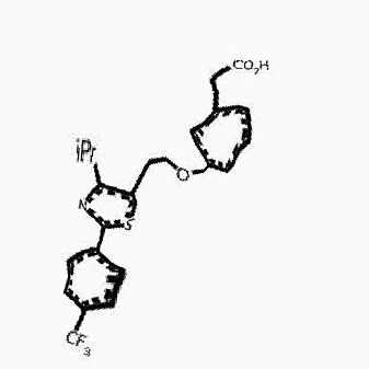 CC(C)c1nc(-c2ccc(C(F)(F)F)cc2)sc1COc1cccc(CC(=O)O)c1